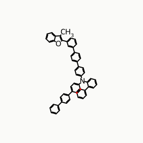 Cc1c(-c2cccc(-c3ccc(-c4ccc(N(c5ccc(-c6ccc(-c7ccccc7)cc6)cc5)c5ccccc5-c5ccccc5)cc4)cc3)c2)oc2ccccc12